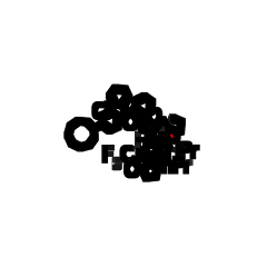 CCCN(C(=O)C1(N(C)C(=O)C(F)(F)F)CCCC1)[C@H](C(=O)N[C@@H](CC(=O)OC(c1ccccc1)(c1ccc(C2CCCCCCCC2)cc1)c1ccccc1Cl)C(=O)N1CCCC1)C(C)C